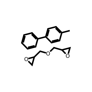 C(OCC1CO1)C1CO1.Cc1ccc(-c2ccccc2)cc1